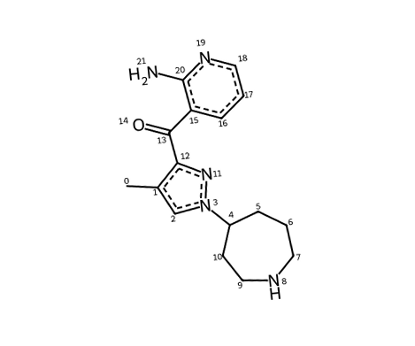 Cc1cn(C2CCCNCC2)nc1C(=O)c1cccnc1N